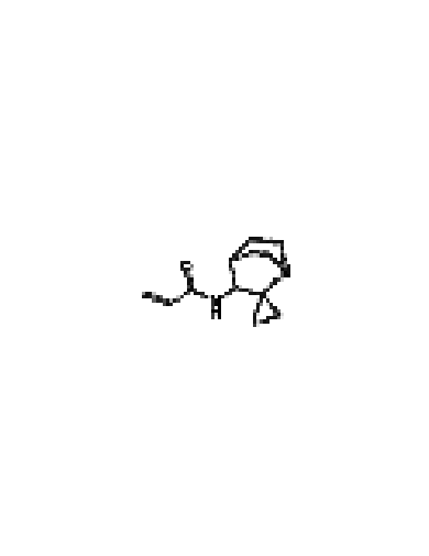 C=CC(=O)NC1C2CCN(CC2)C12CC2